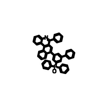 O=P(c1ccccc1)(c1ccccc1)c1cc(-c2ccccc2)cc(-c2cc3c(-c4ccccc4)nc4ccccc4c3c3ccccc23)c1